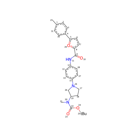 Cc1ccc(-c2ccc(C(=O)Nc3ccc(N4CCC(N(C)C(=O)OC(C)(C)C)C4)cc3)o2)cc1